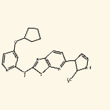 CC1NN=CC1c1ccc2nc(Nc3cc(OC4CCCC4)ccn3)sc2n1